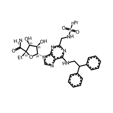 CCCS(=O)(=O)NCc1nc(NCC(c2ccccc2)c2ccccc2)c2ncn([C@@H]3O[C@](CC)(C(N)=O)[C@@H](O)[C@H]3O)c2n1